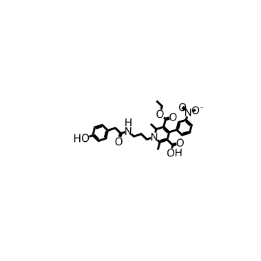 CCOC(=O)C1=C(c2cccc([N+](=O)[O-])c2)C(C(=O)O)=C(C)N(CCCNC(=O)Cc2ccc(O)cc2)C1C